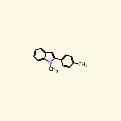 Cc1ccc(-c2cc3ccccc3n2C)cc1